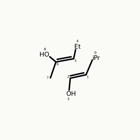 CC(C)C=CO.CCC=C(C)O